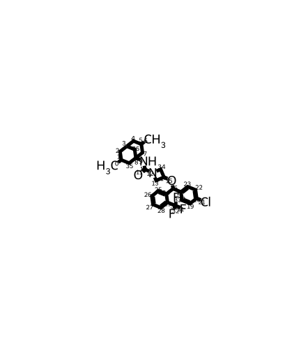 CC1CC2CC(C)CC(NC(=O)N3CC(OC(c4ccc(Cl)cc4)c4ccccc4C(F)(F)F)C3)(C1)C2